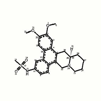 COc1cc2c3c(c4ccc(NS(C)(=O)=O)cc4c2cc1OC)CN1CCCC[C@@H]1C3